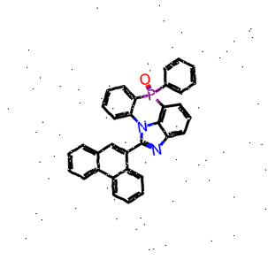 O=P1(c2ccccc2)c2ccccc2-n2c(-c3cc4ccccc4c4ccccc34)nc3cccc1c32